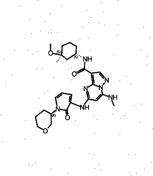 CNc1cc(Nc2cccn([C@@H]3CCCOC3)c2=O)nc2c(C(=O)N[C@H]3CCC[C@](C)(OC)C3)cnn12